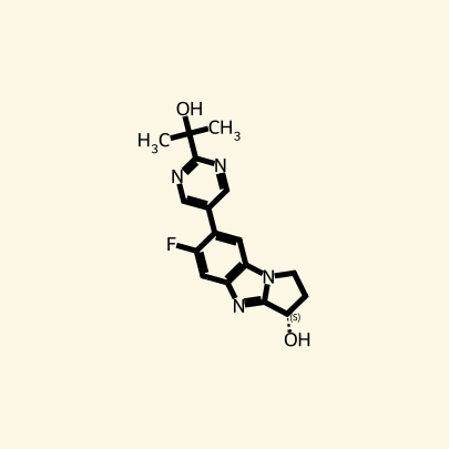 CC(C)(O)c1ncc(-c2cc3c(cc2F)nc2n3CC[C@@H]2O)cn1